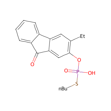 CCCCSP(=O)(O)Oc1cc2c(cc1CC)-c1ccccc1C2=O